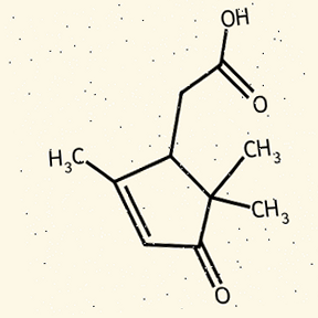 CC1=CC(=O)C(C)(C)C1CC(=O)O